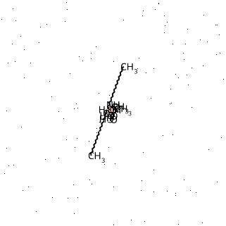 CCCCCCCCCCCCCCCCCCCCOCC(O)CNCCCCCCCCCCCCCCCCCC.C[N+](C)(C)CCOP(=O)(O)O